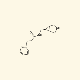 O=C(CCc1ccccc1)NCC1C2CNCC21